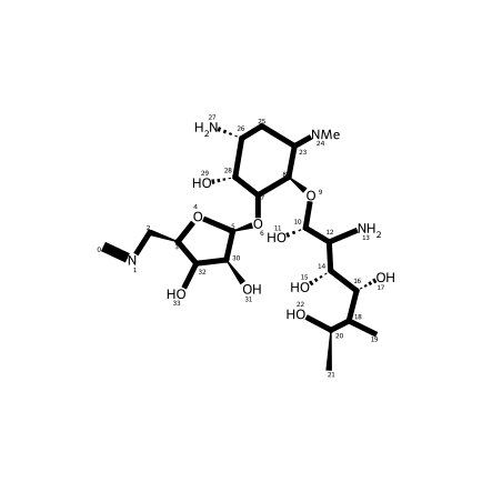 C=NC[C@H]1O[C@@H](OC2[C@H](O[C@@H](O)C(N)[C@@H](O)[C@H](O)C(C)[C@@H](C)O)C(NC)C[C@@H](N)[C@H]2O)[C@@H](O)C1O